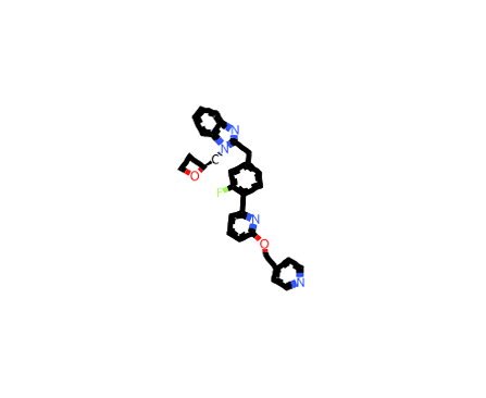 Fc1cc(Cc2nc3ccccc3n2C[C@@H]2CCO2)ccc1-c1cccc(OCc2ccncc2)n1